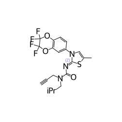 C#CCN(CC(C)C)C(=O)/N=c1\sc(C)cn1-c1ccc2c(c1)OC(F)(F)C(F)(F)O2